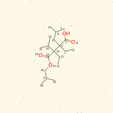 CCC(CC(C)C)(C(=O)O)C(CC)(C(=O)OCC(C)C)C(C)C